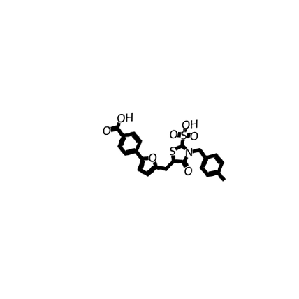 Cc1ccc(CN2C(=O)C(Cc3ccc(-c4ccc(C(=O)O)cc4)o3)SC2S(=O)(=O)O)cc1